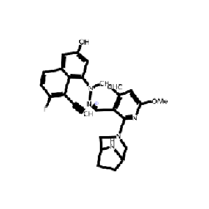 C#Cc1c(F)ccc2cc(O)cc(N(C)/N=C\c3c(C=O)cc(OC)nc3N3CC4CCC(C3)N4)c12